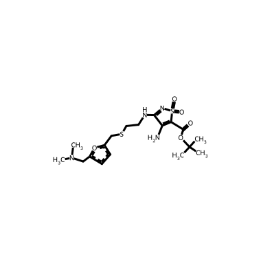 CN(C)Cc1ccc(CSCCNC2=NS(=O)(=O)C(C(=O)OC(C)(C)C)=C2N)o1